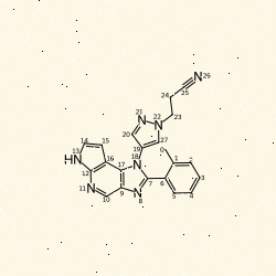 Cc1ccccc1-c1nc2cnc3[nH]ccc3c2n1-c1cnn(CCC#N)c1